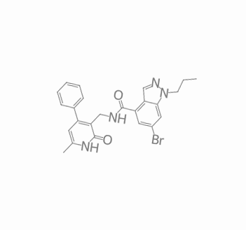 CCCn1ncc2c(C(=O)NCc3c(-c4ccccc4)cc(C)[nH]c3=O)cc(Br)cc21